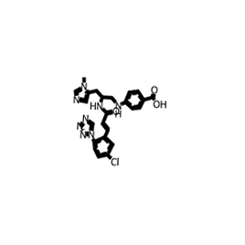 Cn1cncc1CC(CNc1ccc(C(=O)O)cc1)NC(=O)/C=C/c1cc(Cl)ccc1-n1cnnn1